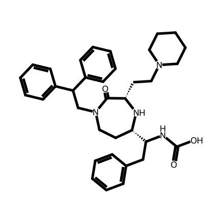 O=C(O)NC(Cc1ccccc1)[C@@H]1CCN(CC(c2ccccc2)c2ccccc2)C(=O)[C@H](CCN2CCCCC2)N1